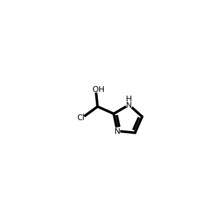 OC(Cl)c1ncc[nH]1